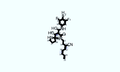 Bc1c(F)cc(NC(O)/C(C(=O)NCC/C(C#N)=C\C=C/C=C)=C(\O)C2(C)CCCN2)cc1F